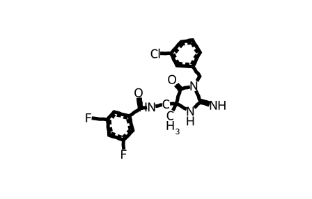 CC1(CNC(=O)c2cc(F)cc(F)c2)NC(=N)N(Cc2cccc(Cl)c2)C1=O